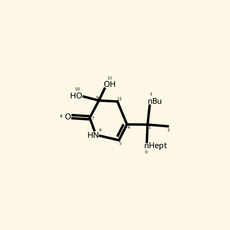 CCCCCCCC(C)(CCCC)C1=CNC(=O)C(O)(O)C1